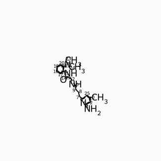 Cc1cc(N)nc(CCCCNCC(=O)Nc2ccccc2N(C)C)c1